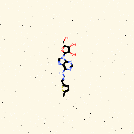 Cc1ccc(C=NNc2ncnc3c2ncn3C2O[C@H](CO)[C@@H](O)[C@H]2O)s1